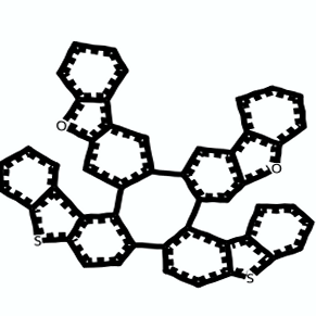 c1ccc2c(c1)oc1cc3c(cc12)-c1cc2c(cc1-c1c(ccc4sc5ccccc5c14)-c1ccc4sc5ccccc5c4c1-3)oc1ccccc12